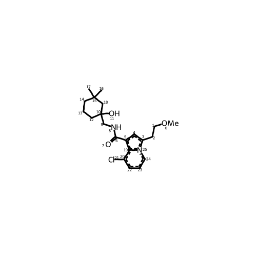 COCCc1cc(C(=O)NCC2(O)CCCC(C)(C)C2)c2c(Cl)cccn12